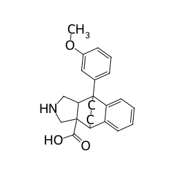 COc1cccc(C23CCC(c4ccccc42)C2(C(=O)O)CNCC32)c1